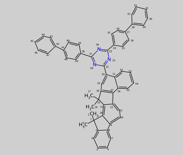 CC1(C)c2ccccc2-c2ccc3c(c21)C(C)(C)c1cc(-c2nc(-c4ccc(-c5ccccc5)cc4)nc(-c4ccc(-c5ccccc5)cc4)n2)c2ccccc2c1-3